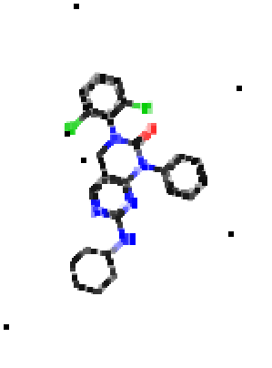 O=C1N(c2c(Cl)cccc2Cl)Cc2cnc(NC3CCCCC3)nc2N1c1ccccc1